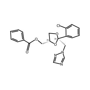 O=C(OC[C@@H]1CO[C@@](Cn2cncn2)(c2ccccc2Cl)O1)c1ccccc1